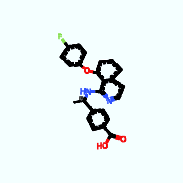 C[C@@H](Nc1nccc2cccc(Oc3ccc(F)cc3)c12)c1ccc(C(=O)O)cc1